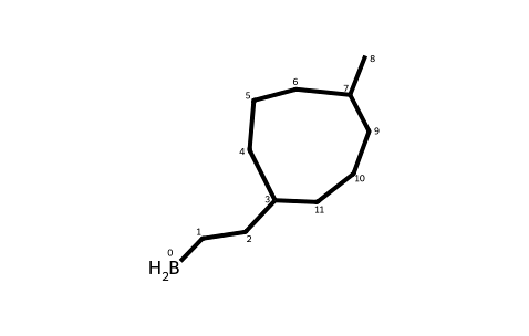 BCCC1CCCC(C)CCC1